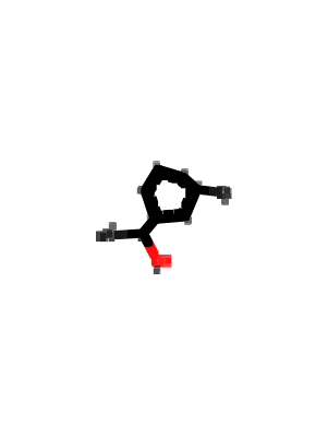 CCCC(O)c1cccc(CC)c1